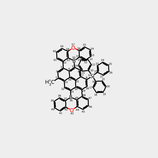 Cc1cc2c3c(cc4c([Si](c5ccccc5)(c5ccccc5)c5ccccc5)cc5c6c(cc1c3c46)B1c3ccccc3Oc3cccc-5c31)B1c3ccccc3Oc3cccc-2c31